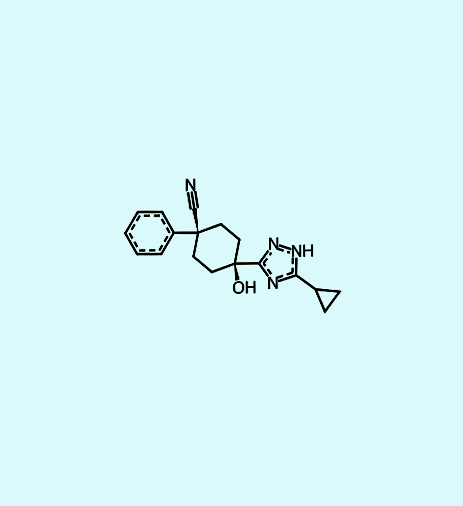 N#C[C@]1(c2ccccc2)CC[C@@](O)(c2n[nH]c(C3CC3)n2)CC1